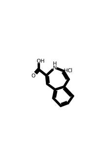 Cl.O=C(O)C1=Cc2ccccc2C=CN1